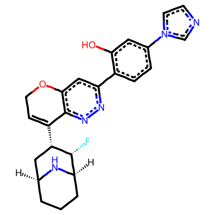 Oc1cc(-n2ccnc2)ccc1-c1cc2c(nn1)C([C@H]1C[C@@H]3CCC[C@@H](N3)[C@H]1F)=CCO2